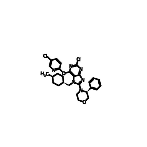 C[C@H]1CC[C@H](Cn2c(N3CCOC[C@H]3c3ccccc3)nc3nc(Cl)nc(Oc4ccc(Cl)cn4)c32)CC1